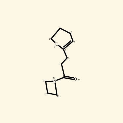 O=C(CCC1=CCCCC1)N1CCC1